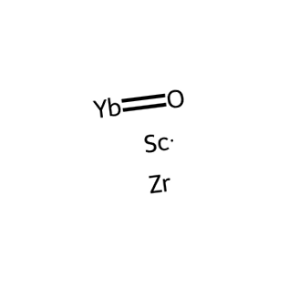 [O]=[Yb].[Sc].[Zr]